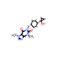 Cn1cnc2c1c(=O)n(C[C@H]1CC[C@H](C3(O)CC3)CC1)c(=O)n2C